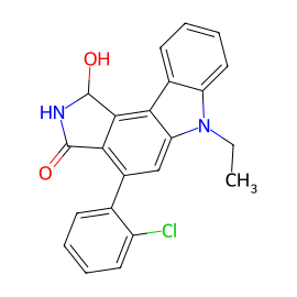 CCn1c2ccccc2c2c3c(c(-c4ccccc4Cl)cc21)C(=O)NC3O